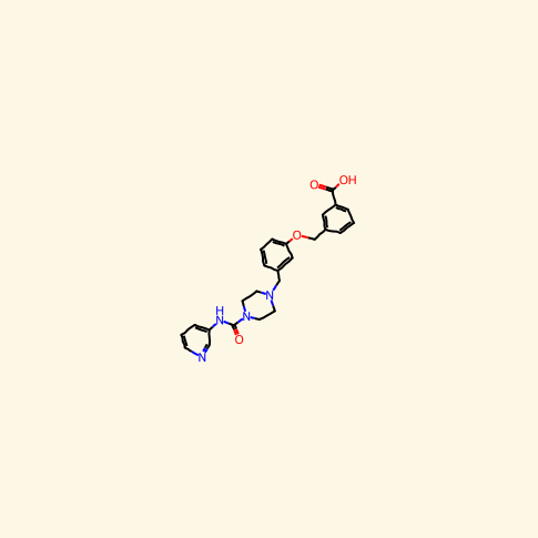 O=C(O)c1cccc(COc2cccc(CN3CCN(C(=O)Nc4cccnc4)CC3)c2)c1